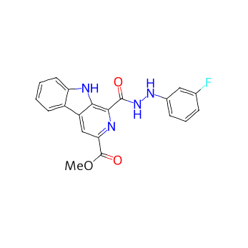 COC(=O)c1cc2c([nH]c3ccccc32)c(C(=O)NNc2cccc(F)c2)n1